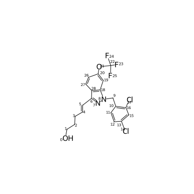 OCCCC=Cc1nn(Cc2ccc(Cl)cc2Cl)c2cc(OC(F)(F)F)ccc12